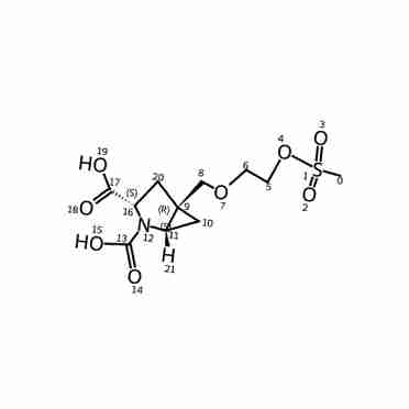 CS(=O)(=O)OCCOC[C@@]12C[C@@H]1N(C(=O)O)[C@H](C(=O)O)C2